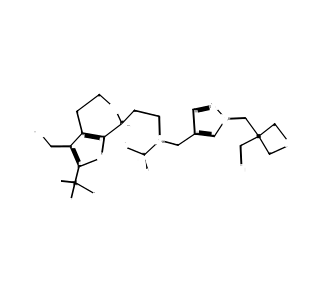 C[C@H]1C[C@@]2(CCN1Cc1cnn(CC3(CO)COC3)c1)OCCc1c2sc(C(F)(F)F)c1CO